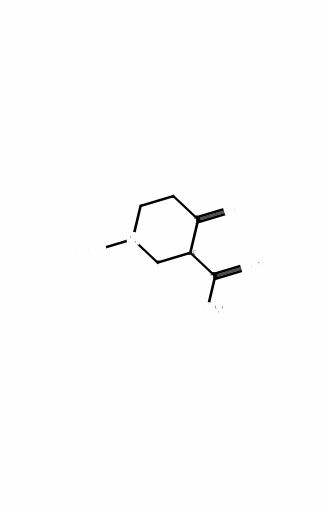 CCOC(=O)N1CCC(=O)C(C(=O)OC)C1